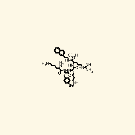 CC(C)NCCCC[C@H](NC(=O)[C@H](Cc1ccc(O)cc1)NC(=O)[C@@H](N)CCCCN)C(=O)N[C@H](CCCNC(=N)N)C(=O)N[C@@H](Cc1ccc2ccccc2c1)C(=O)O